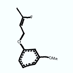 COc1cccc(OC/C=C(/C)F)c1